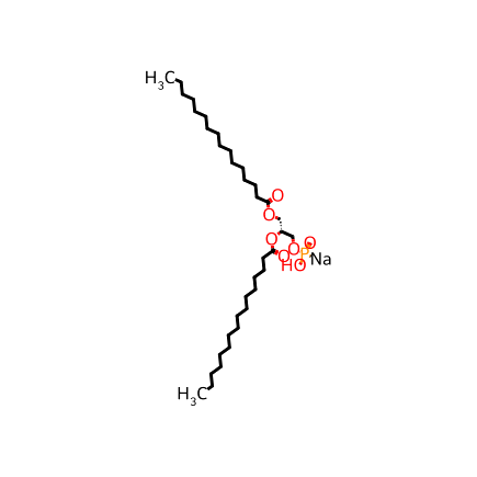 CCCCCCCCCCCCCCCC(=O)OC[C@H](CO[P](=O)(O)[Na])OC(=O)CCCCCCCCCCCCCCC